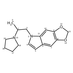 CC(Cn1ccc2cc3c(cc21)OCO3)N1CCCC1